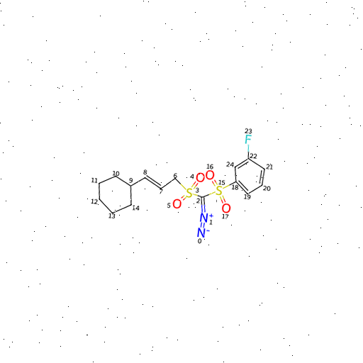 [N-]=[N+]=C(S(=O)(=O)CC=CC1CCCCC1)S(=O)(=O)c1cccc(F)c1